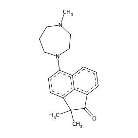 CN1CCCN(c2ccc3c4c(cccc24)C(=O)C3(C)C)CC1